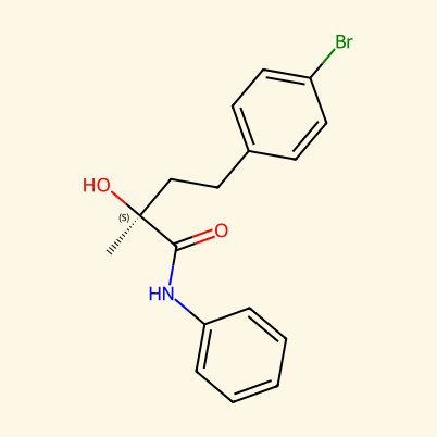 C[C@](O)(CCc1ccc(Br)cc1)C(=O)Nc1ccccc1